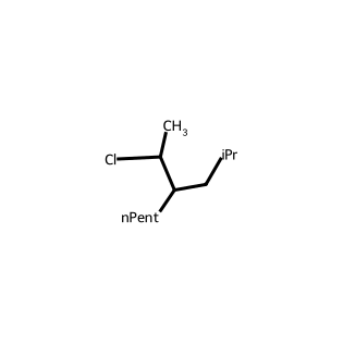 CCCCCC(CC(C)C)C(C)Cl